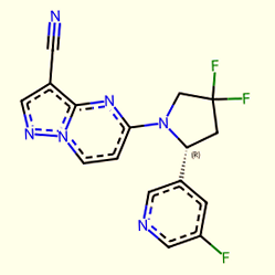 N#Cc1cnn2ccc(N3CC(F)(F)C[C@@H]3c3cncc(F)c3)nc12